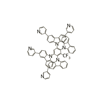 FC(F)(F)c1c(-n2c3ccccc3c3ccccc32)c(-n2c3ccc(-c4cccnc4)cc3c3cc(-c4cccnc4)ccc32)cc(-n2c3ccc(-c4cccnc4)cc3c3cc(-c4cccnc4)ccc32)c1-n1c2ccccc2c2ccccc21